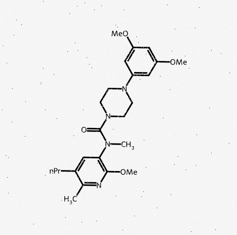 CCCc1cc(N(C)C(=O)N2CCN(c3cc(OC)cc(OC)c3)CC2)c(OC)nc1C